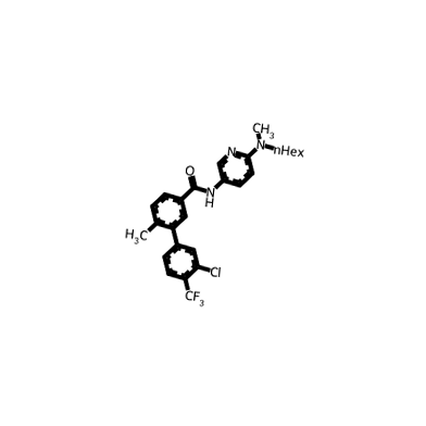 CCCCCCN(C)c1ccc(NC(=O)c2ccc(C)c(-c3ccc(C(F)(F)F)c(Cl)c3)c2)cn1